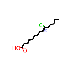 CCCCC/C(Cl)=C/CCCCCCCC(=O)O